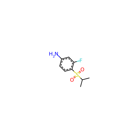 CC(C)S(=O)(=O)c1ccc(N)cc1F